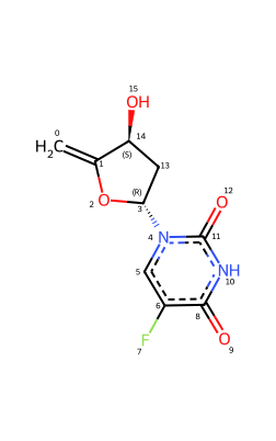 C=C1O[C@@H](n2cc(F)c(=O)[nH]c2=O)C[C@@H]1O